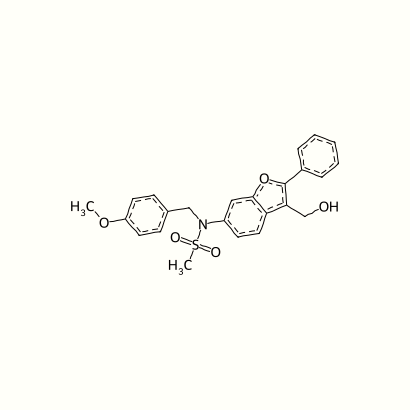 COc1ccc(CN(c2ccc3c(CO)c(-c4ccccc4)oc3c2)S(C)(=O)=O)cc1